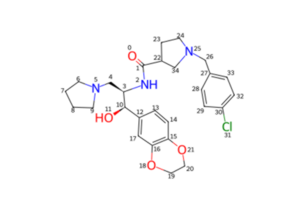 O=C(N[C@H](CN1CCCC1)[C@H](O)c1ccc2c(c1)OCCO2)C1CCN(Cc2ccc(Cl)cc2)C1